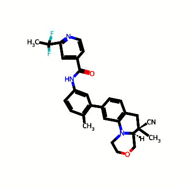 Cc1ccc(NC(=O)c2ccnc(C(C)(F)F)c2)cc1-c1ccc2c(c1)N1CCOC[C@@H]1[C@](C)(C#N)C2